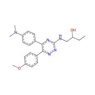 CCC(O)CNc1nnc(-c2ccc(OC)cc2)c(-c2ccc(N(C)C)cc2)n1